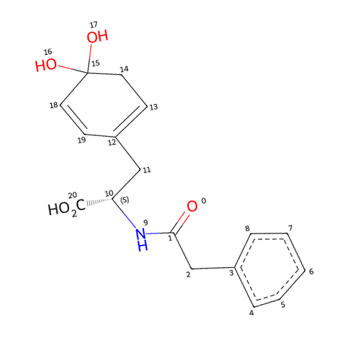 O=C(Cc1ccccc1)N[C@@H](CC1=CCC(O)(O)C=C1)C(=O)O